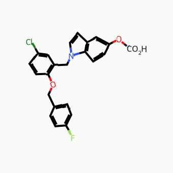 O=C(O)Oc1ccc2c(ccn2Cc2cc(Cl)ccc2OCc2ccc(F)cc2)c1